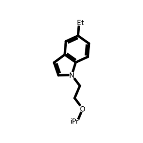 CCc1ccc2c(ccn2CCOC(C)C)c1